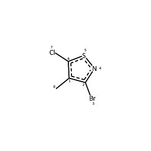 Cc1c(Br)nsc1Cl